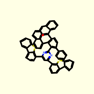 c1ccc(-c2ccc(-c3cccc4ccccc34)c(-c3cccc4ccccc34)c2-c2nc(-c3cccc4c3sc3ccccc34)cc(-c3cccc4c3sc3ccccc34)n2)cc1